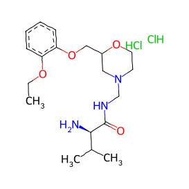 CCOc1ccccc1OCC1CN(CNC(=O)[C@H](N)C(C)C)CCO1.Cl.Cl